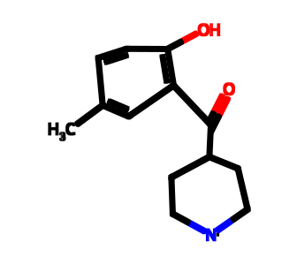 Cc1ccc(O)c(C(=O)C2CC[N]CC2)c1